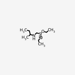 CCO[SiH](CNC(C)CC)OCC